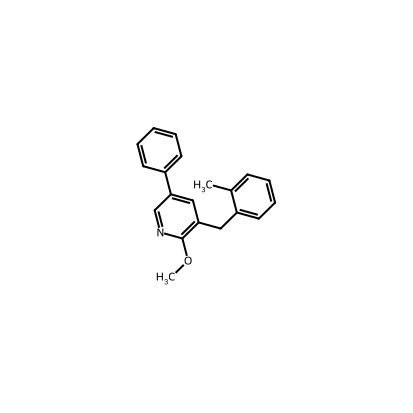 COc1ncc(-c2ccccc2)cc1Cc1ccccc1C